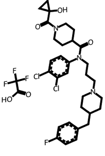 O=C(C1CCN(C(=O)C2(O)CC2)CC1)N(CCCN1CCC(Cc2ccc(F)cc2)CC1)c1ccc(Cl)c(Cl)c1.O=C(O)C(F)(F)F